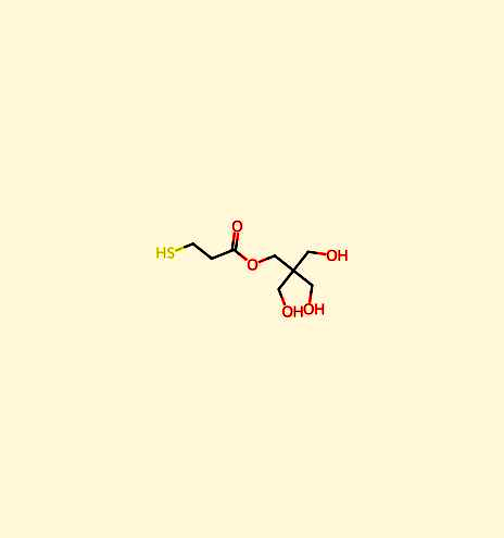 O=C(CCS)OCC(CO)(CO)CO